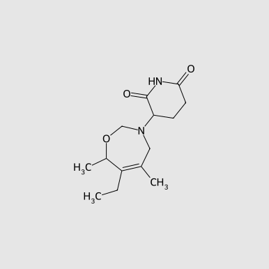 CCC1=C(C)CN(C2CCC(=O)NC2=O)COC1C